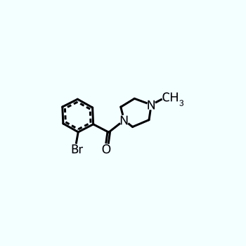 CN1CCN(C(=O)c2ccccc2Br)CC1